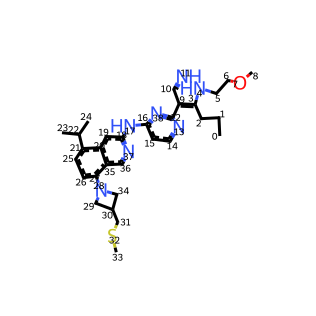 CCC/C(NCCOC)=C(/C=N)c1nccc(Nc2cc3c(C(C)C)ccc(N4CC(CSC)C4)c3cn2)n1